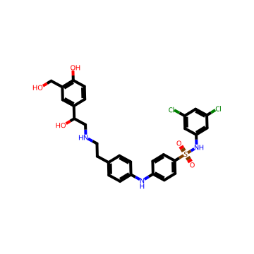 O=S(=O)(Nc1cc(Cl)cc(Cl)c1)c1ccc(Nc2ccc(CCNCC(O)c3ccc(O)c(CO)c3)cc2)cc1